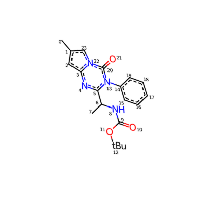 Cc1cc2nc(C(C)NC(=O)OC(C)(C)C)n(-c3ccccc3)c(=O)n2c1